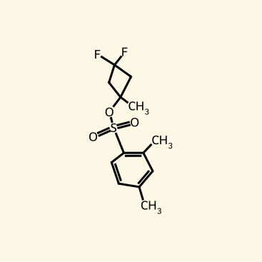 Cc1ccc(S(=O)(=O)OC2(C)CC(F)(F)C2)c(C)c1